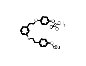 CC(C)(C)Oc1ccc(CCSc2[c]c(CCOc3ccc(OS(C)(=O)=O)cc3)ccc2)cc1